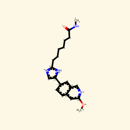 CNC(=O)CCCCCCc1ncc(-c2ccc3cc(OC)ncc3c2)[nH]1